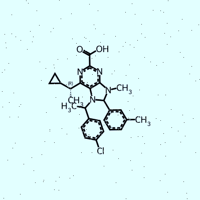 Cc1cccc(C2N(C)c3nc(C(=O)O)nc([C@H](C)C4CC4)c3N2C(C)c2ccc(Cl)cc2)c1